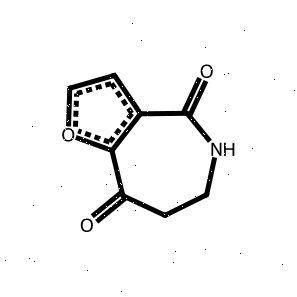 O=C1NCCC(=O)c2occc21